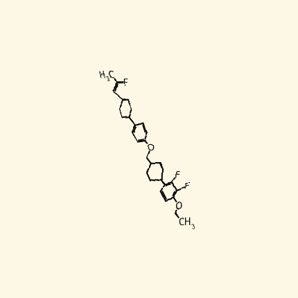 CCOc1ccc(C2CCC(COc3ccc(C4CCC(/C=C(/C)F)CC4)cc3)CC2)c(F)c1F